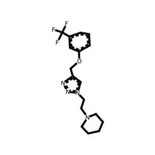 FC(F)(F)c1cccc(OCc2cn(CCN3CCCCC3)nn2)c1